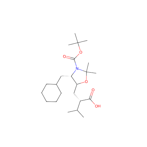 CC(C)[C@H](CC1OC(C)(C)N(C(=O)OC(C)(C)C)[C@H]1CC1CCCCC1)C(=O)O